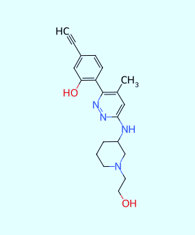 C#Cc1ccc(-c2nnc(NC3CCCN(CCO)C3)cc2C)c(O)c1